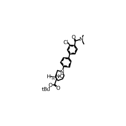 CN(C)C(=O)c1ccc(-c2ccc(N3C[C@H]4CCC3CN4C(=O)OC(C)(C)C)cc2)cc1Cl